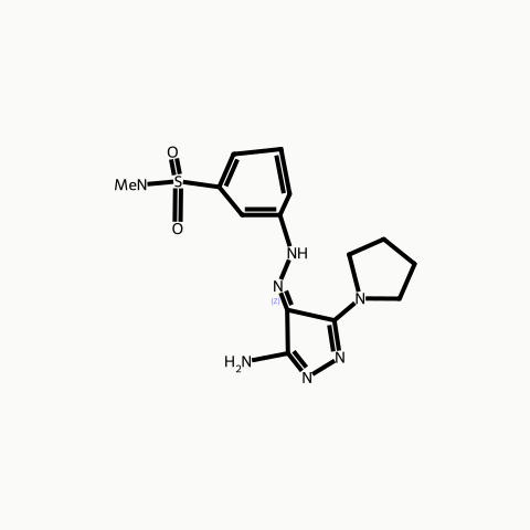 CNS(=O)(=O)c1cccc(N/N=C2/C(N)=NN=C2N2CCCC2)c1